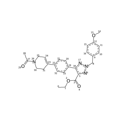 CCOC(=O)c1nn(Cc2ccc(OC)cc2)nc1-c1ccc(C2=CCN(C(C)=O)CC2)cc1